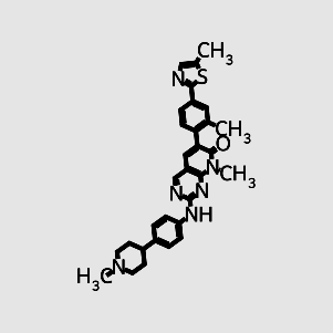 Cc1cnc(-c2ccc(-c3cc4cnc(Nc5ccc(C6CCN(C)CC6)cc5)nc4n(C)c3=O)c(C)c2)s1